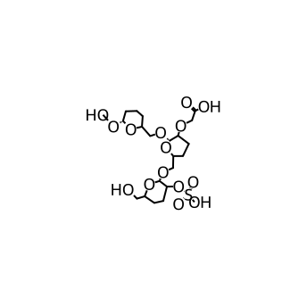 O=C(O)COC1CCC(CO[C@@H]2OC(CO)CCC2OS(=O)(=O)O)O[C@@H]1OCC1CCC[C@@H](OO)O1